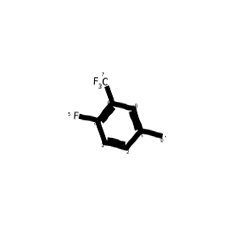 [CH2]c1ccc(F)c(C(F)(F)F)c1